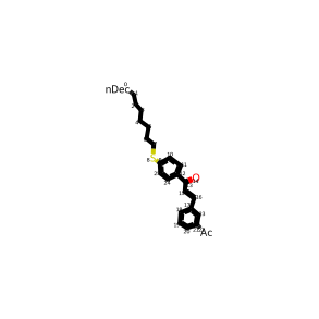 CCCCCCCCCCCCCCCCCSc1ccc(C(=O)C=Cc2cccc(C(C)=O)c2)cc1